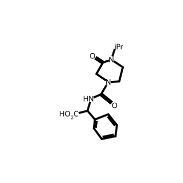 CC(C)N1CCN(C(=O)NC(C(=O)O)c2ccccc2)CC1=O